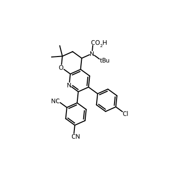 CC1(C)CC(N(C(=O)O)C(C)(C)C)c2cc(-c3ccc(Cl)cc3)c(-c3ccc(C#N)cc3C#N)nc2O1